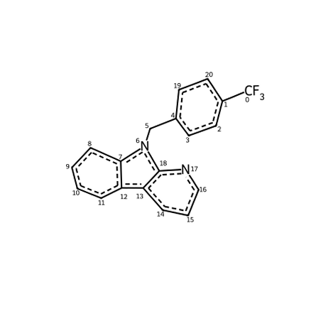 FC(F)(F)c1ccc(Cn2c3ccccc3c3cccnc32)cc1